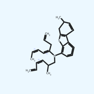 C=C/C=C\C(C)CN(C1=c2sc3c(c2=C=C=C1)C=CC(C)C3)/C(=C/C=C\C)CC=C